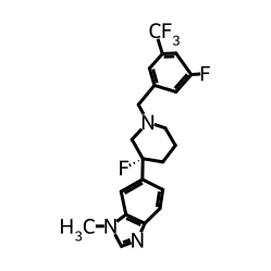 Cn1cnc2ccc([C@]3(F)CCCN(Cc4cc(F)cc(C(F)(F)F)c4)C3)cc21